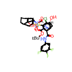 CC(C)(C)OC(=O)N1CC[C@@H](O)[C@H]1C(=O)NC[C@]1(O)C2CCC1C[C@@H](S(=O)(=O)c1cc(C(=O)Nc3cc(F)c(F)c(F)c3)ccc1Cl)C2